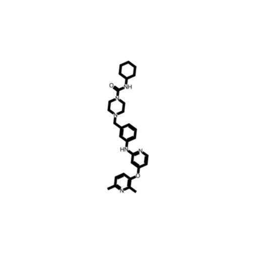 Cc1ccc(Oc2ccnc(Nc3cccc(CN4CCN(C(=O)NC5CCCCC5)CC4)c3)c2)c(C)n1